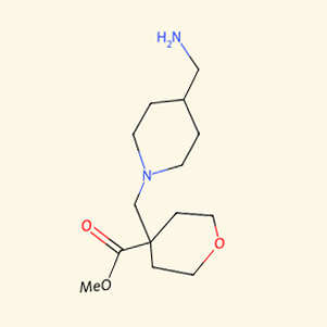 COC(=O)C1(CN2CCC(CN)CC2)CCOCC1